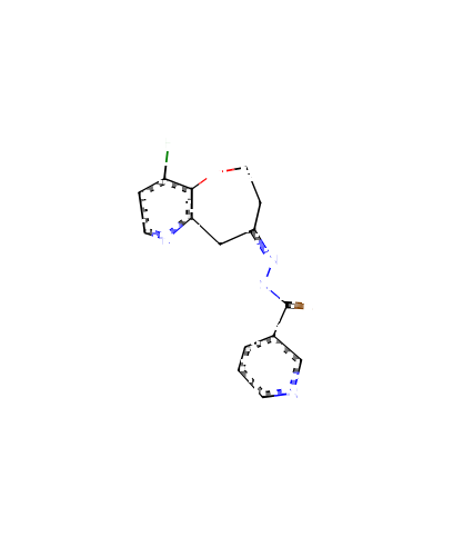 Fc1ccnc2c1OCC/C(=N/NC(=S)c1cccnc1)C2